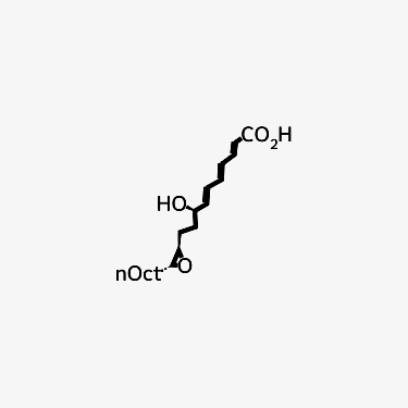 CCCCCCCC[C@H]1O[C@@H]1CC[C@@H](O)C=CC=CC=CC(=O)O